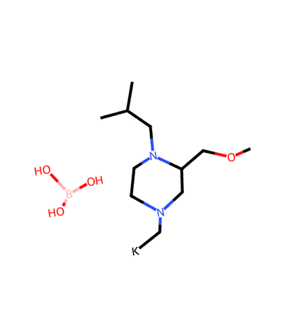 COCC1CN([CH2][K])CCN1CC(C)C.OB(O)O